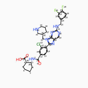 O=C(N[C@@H]1CCCC[C@H]1C(=O)O)c1ccc(-c2nc3cnc(NCc4ccc(F)c(F)c4)nc3n2C[C@@H]2CCCNC2)c(Cl)c1